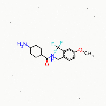 COc1ccc(CNC(=O)C2CCC(N)CC2)c(C(F)(F)F)c1